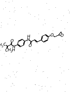 C=C(C)C(=O)Nc1ccc(NC(=O)C=Cc2ccc(OCC3CO3)cc2)cc1